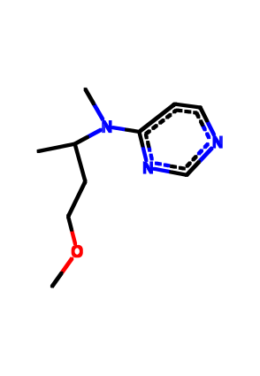 COCCC(C)N(C)c1ccncn1